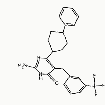 Nc1nc(C2CCC(c3ccccc3)CC2)c(Cc2cccc(C(F)(F)F)c2)c(=O)[nH]1